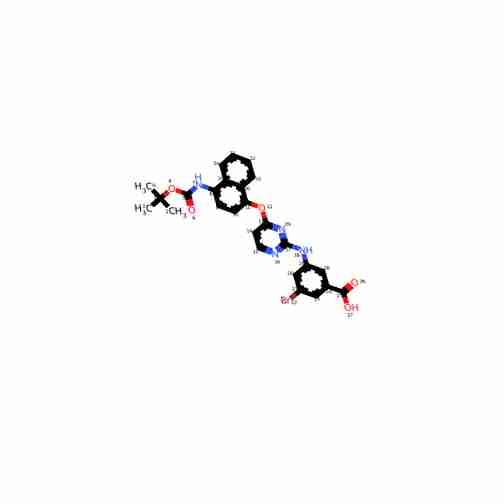 CC(C)(C)OC(=O)Nc1ccc(Oc2ccnc(Nc3cc(Br)cc(C(=O)O)c3)n2)c2ccccc12